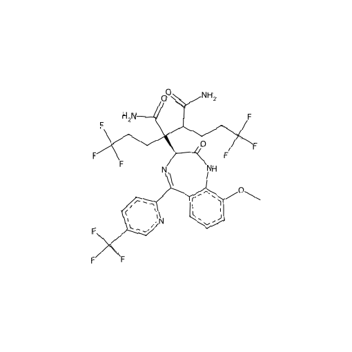 COc1cccc2c1NC(=O)[C@H](C(CCC(F)(F)F)(C(N)=O)C(CCC(F)(F)F)C(N)=O)N=C2c1ccc(C(F)(F)F)cn1